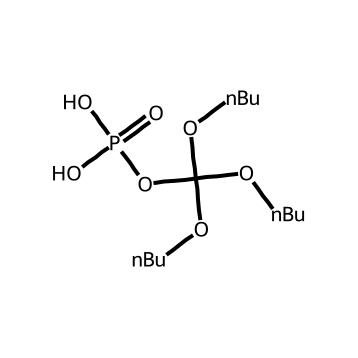 CCCCOC(OCCCC)(OCCCC)OP(=O)(O)O